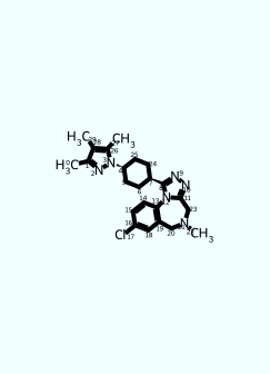 Cc1nn([C@H]2CC[C@H](c3nnc4n3-c3ccc(Cl)cc3CN(C)C4)CC2)c(C)c1C